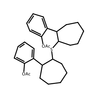 CC(=O)Oc1ccccc1C1CCCCCC1SC1CCCCCC1c1ccccc1OC(C)=O